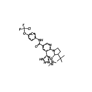 C[SiH](C)OC1C(C(C)(C)C)CCN1c1ncc(C(=O)Nc2ccc(OC(F)(F)Cl)cc2)cc1-c1nnn[nH]1